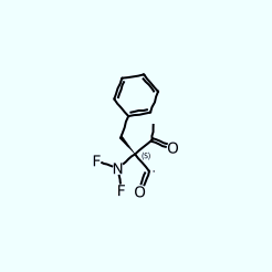 CC(=O)[C@@]([C]=O)(Cc1ccccc1)N(F)F